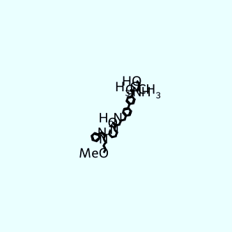 COCCCn1c([C@@H]2CCCN(C(=O)C[C@H](N)Cc3ccc(-c4ccc(C(=O)NC(C)(C)CO)cc4)cc3)C2)nc2ccccc21